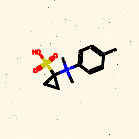 Cc1ccc([N+](C)(C)C2(S(=O)(=O)O)CC2)cc1